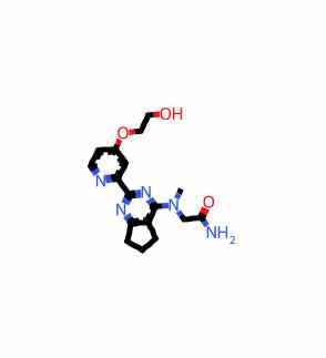 CN(CC(N)=O)c1nc(-c2cc(OCCO)ccn2)nc2c1CCC2